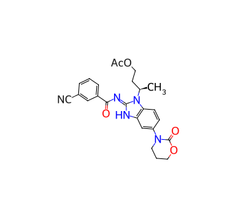 CC(=O)OCC[C@@H](C)n1/c(=N/C(=O)c2cccc(C#N)c2)[nH]c2cc(N3CCCOC3=O)ccc21